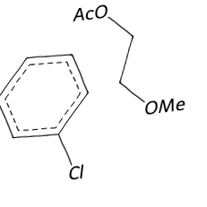 COCCOC(C)=O.Clc1ccccc1